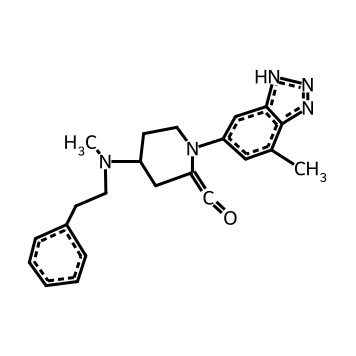 Cc1cc(N2CCC(N(C)CCc3ccccc3)CC2=C=O)cc2[nH]nnc12